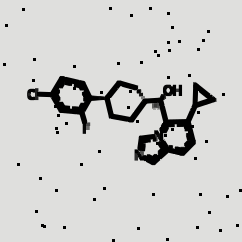 O[C@@H](c1c(C2CC2)ccc2cncn12)[C@H]1CC[C@H](c2ccc(Cl)cc2F)CC1